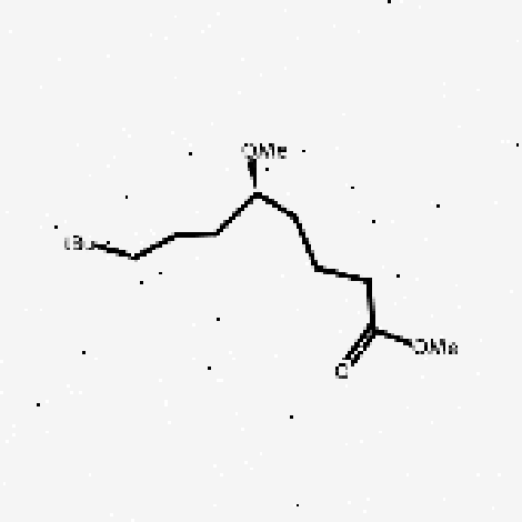 COC(=O)CCC[C@@H](CCCC(C)(C)C)OC